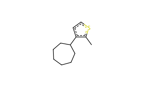 Cc1sccc1C1CCCCCC1